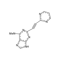 CNc1nc(C#Cc2ncccn2)nc2[nH]cnc12